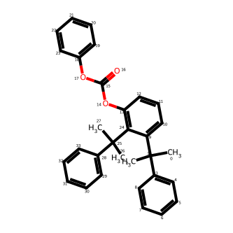 CC(C)(c1ccccc1)c1cccc(OC(=O)Oc2ccccc2)c1C(C)(C)c1ccccc1